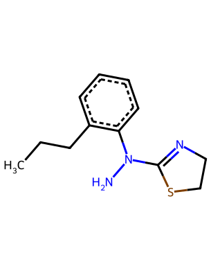 CCCc1ccccc1N(N)C1=NCCS1